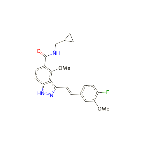 COc1cc(C=Cc2n[nH]c3ccc(C(=O)NCC4CC4)c(OC)c23)ccc1F